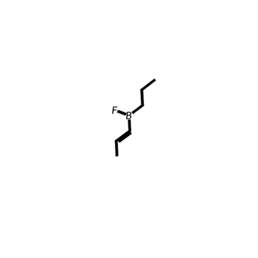 C/C=C/B(F)CCC